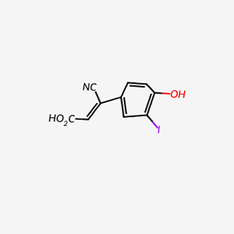 N#CC(=CC(=O)O)c1ccc(O)c(I)c1